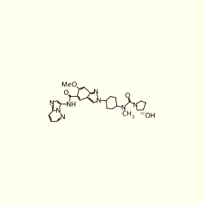 COc1cc2nn(C3CCC(N(C)C(=O)N4CC[C@H](O)C4)CC3)cc2cc1C(=O)Nc1cnc2cccnn12